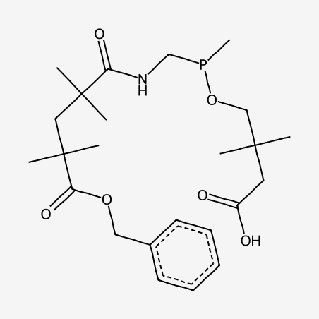 CP(CNC(=O)C(C)(C)CC(C)(C)C(=O)OCc1ccccc1)OCC(C)(C)CC(=O)O